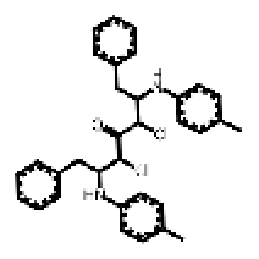 Cc1ccc(NC(Cc2ccccc2)C(Cl)C(=O)C(Cl)C(Cc2ccccc2)Nc2ccc(C)cc2)cc1